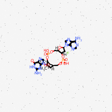 C[C@@]12OP(=O)(O)OC[C@H]3O[C@@H](n4cnc5c(N)ncnc54)[C@H](F)[C@@H]3OP(=O)(O)OC[C@@H](C[C@@]1(C)n1cnc3c(=O)[nH]c(N)nc31)[C@H]2O